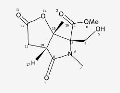 COC(=O)[C@]1(CO)N(C)C(=O)[C@@H]2CC(=O)O[C@@]21C